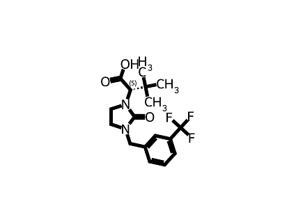 CC(C)(C)[C@@H](C(=O)O)N1CCN(Cc2cccc(C(F)(F)F)c2)C1=O